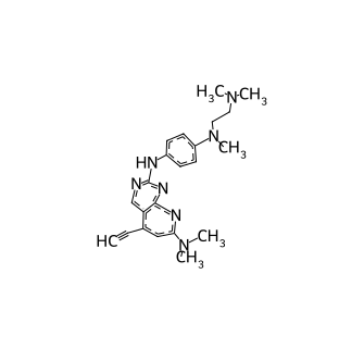 C#Cc1cc(N(C)C)nc2nc(Nc3ccc(N(C)CCN(C)C)cc3)ncc12